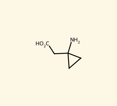 NC1(CC(=O)O)CC1